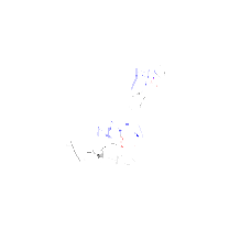 C[Si](C)(C)C#Cc1c(-c2ccccc2)oc2c(NCCc3ccc(NC(=O)Nc4ccccc4)cc3)ncnc12